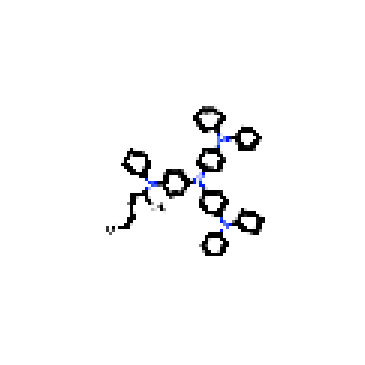 C/C=C\C=C/C(C)N(c1ccccc1)c1ccc(N(c2ccc(N(c3ccccc3)c3ccccc3)cc2)c2ccc(N(c3ccccc3)c3ccccc3)cc2)cc1